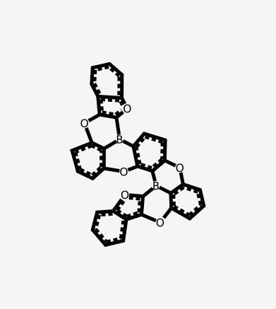 c1cc2c3c(c1)Oc1c(oc4ccccc14)B3c1ccc3c(c1O2)B1c2oc4ccccc4c2Oc2cccc(c21)O3